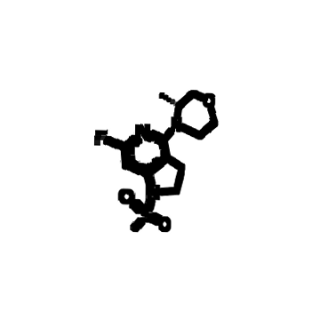 C[C@@H]1COCCN1c1nc(F)cc2c1CCN2S(C)(=O)=O